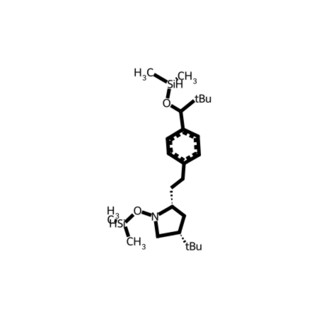 C[SiH](C)OC(c1ccc(CC[C@@H]2C[C@H](C(C)(C)C)CN2O[SiH](C)C)cc1)C(C)(C)C